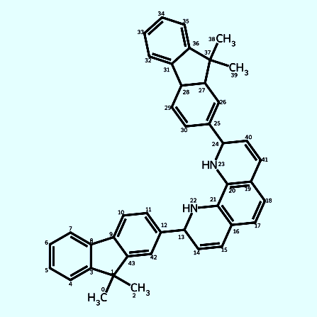 CC1(C)c2ccccc2-c2ccc(C3C=Cc4ccc5c(c4N3)NC(C3=CC4C(C=C3)c3ccccc3C4(C)C)C=C5)cc21